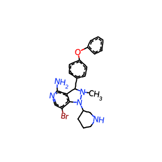 CN1C(c2ccc(Oc3ccccc3)cc2)c2c(N)ncc(Br)c2N1C1CCCNC1